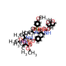 CCOC(=O)[C@@H](NP(=O)(COc1ccc(C[C@H](NC(=O)O[C@H]2CO[C@H]3OCC[C@H]32)[C@H](O)CN(CC(C)C)S(=O)(=O)c2ccc(OC)cc2)cc1)N[C@H](C(=O)OCC)C(C)C)C(C)C